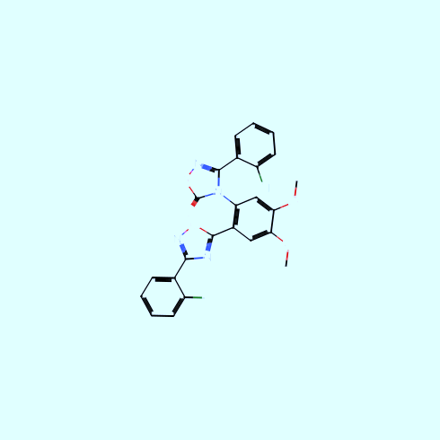 COc1cc(-c2nc(-c3ccccc3Cl)no2)c(-n2c(-c3ccccc3Cl)noc2=O)cc1OC